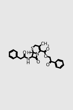 CC1=C(C(=O)OCC(=O)c2ccccc2)N2C(=O)C(NC(=O)Cc3ccccc3)[C@@H]2SC1